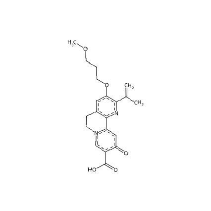 C=C(C)c1nc2c(cc1OCCCOC)CCn1cc(C(=O)O)c(=O)cc1-2